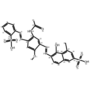 COc1cc(N=Nc2ccccc2S(=O)(=O)O)c(NC(C)=O)cc1N=Nc1ccc2cc(S(=O)(=O)O)cc(C)c2c1O